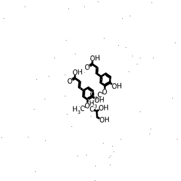 CC(O)CO.COc1cc(C=CC(=O)O)ccc1O.COc1cc(C=CC(=O)O)ccc1O